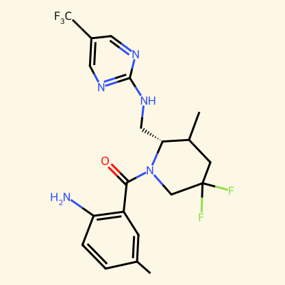 Cc1ccc(N)c(C(=O)N2CC(F)(F)CC(C)[C@H]2CNc2ncc(C(F)(F)F)cn2)c1